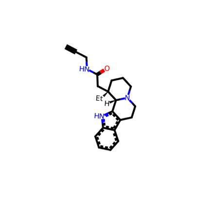 C#CCNC(=O)C[C@]1(CC)CCCN2CCc3c([nH]c4ccccc34)[C@@H]21